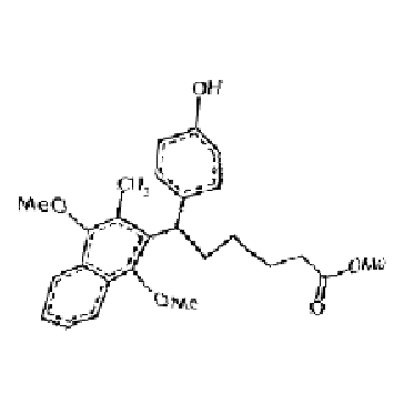 COC(=O)CCCCC(c1ccc(O)cc1)c1c(C)c(OC)c2ccccc2c1OC